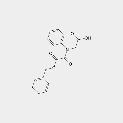 O=C(O)CN(C(=O)C(=O)OCc1ccccc1)c1ccccc1